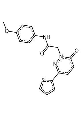 COc1ccc(NC(=O)Cn2nc(-c3cccs3)ccc2=O)cc1